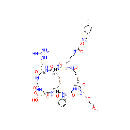 COCCOCCNC(=O)[C@@H]1CSCC(=O)N[C@@H](CCCCNC(=O)CO/N=C/c2ccc(F)cc2)C(=O)N[C@H]2CSSC[C@H](NC(=O)[C@H](CC(=O)O)NC(=O)CNC(=O)[C@H](CCCNC(=N)N)NC2=O)C(=O)N[C@@H](Cc2ccccc2)C(=O)N1